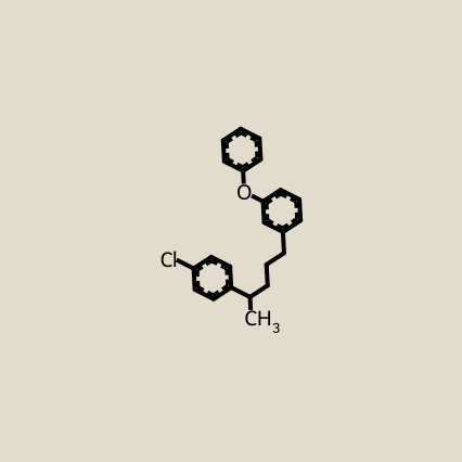 CC(CCCc1cccc(Oc2ccccc2)c1)c1ccc(Cl)cc1